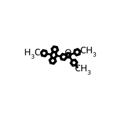 Cc1ccc(-c2oc3cc(-c4c5ccccc5c(-c5ccc(C)cc5)c5ccccc45)ccc3c2-c2ccc(C)cc2)cc1